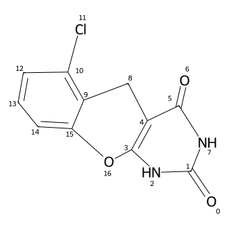 O=c1[nH]c2c(c(=O)[nH]1)Cc1c(Cl)cccc1O2